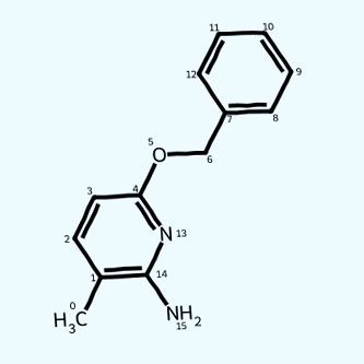 Cc1ccc(OCc2ccccc2)nc1N